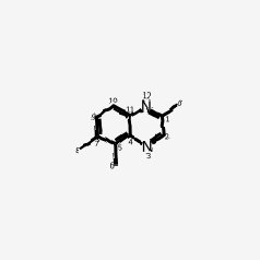 Cc1cnc2c(C)c(C)ccc2n1